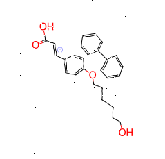 O=C(O)/C=C/c1ccc(OCCCCCCO)cc1.c1ccc(-c2ccccc2)cc1